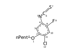 CCCCCOc1cc(N=C=S)c(F)cc1Cl